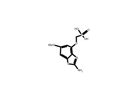 COc1cc(OCP(=O)(O)O)c2nc(N)sc2c1